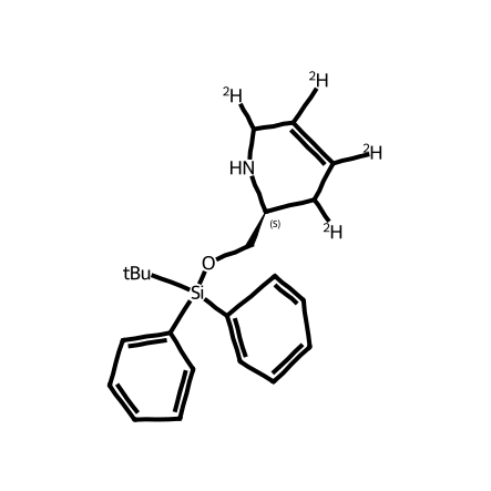 [2H]C1=C([2H])C([2H])[C@@H](CO[Si](c2ccccc2)(c2ccccc2)C(C)(C)C)NC1[2H]